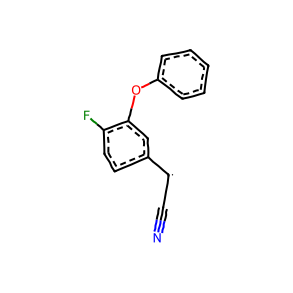 N#C[CH]c1ccc(F)c(Oc2ccccc2)c1